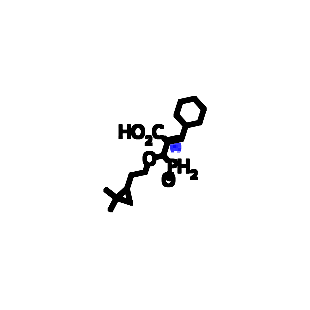 CC1(C)CC1CCOC([PH2]=O)/C(=C/C1CCCCC1)C(=O)O